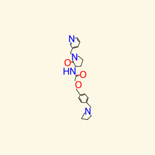 O=C(COCc1ccc(CN2CCCC2)cc1)NC1CCCN(Cc2cccnc2)C1=O